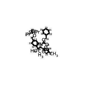 CC(C)[Si](OCc1ccc([C@@](C)(O)[C@H](NC(=O)OCc2ccccc2)C23OCC(C)(CO2)CO3)cc1)(C(C)C)C(C)C